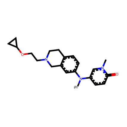 CC(C)N(c1ccc2c(c1)CN(CCOC1CC1)CC2)c1ccc(=O)n(C)c1